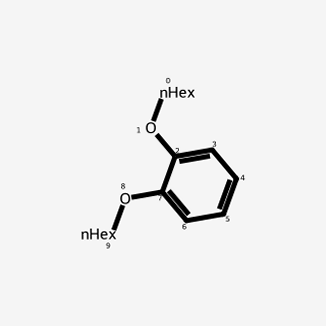 CCCCCCOc1ccccc1OCCCCCC